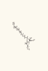 C=C(CCCCCCCCCCCCCCC)CCC(C)CC